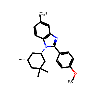 C[C@@H]1C[C@H](n2c(-c3ccc(OC(F)(F)F)cc3)nc3cc(C(=O)O)ccc32)CC(C)(C)C1